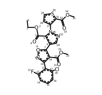 CCOC(=O)c1c(-c2onc(-c3c(F)cccc3Cl)c2C(=O)OC)cnn1-c1ccsc1C(=O)OC